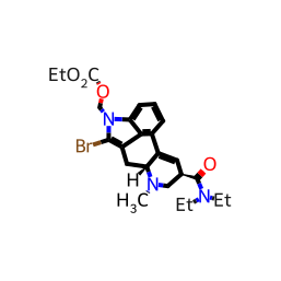 CCOC(=O)OCn1c(Br)c2c3c(cccc31)C1=C[C@@H](C(=O)N(CC)CC)CN(C)[C@@H]1C2